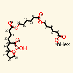 CCCCCCOC(=O)CCCCCOC(=O)CCCCCOC(=O)CCCC(CC1CCCO1)C(=O)OO